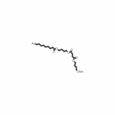 COCCCCOC(=O)CCC(=O)OCCCCOC(=O)CCCCCCCCC(C)=O